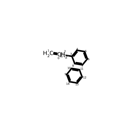 C=C.CCc1ccccc1.c1ccccc1